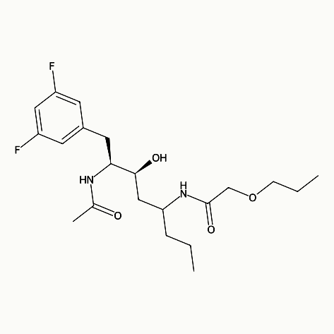 CCCOCC(=O)NC(CCC)C[C@H](O)[C@H](Cc1cc(F)cc(F)c1)NC(C)=O